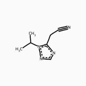 CC(C)n1ncnc1CC#N